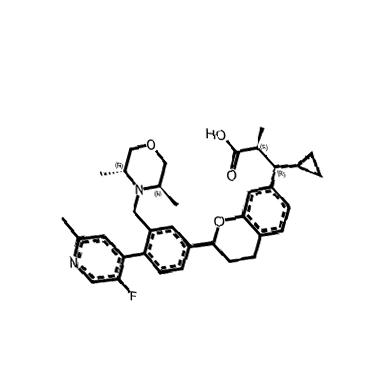 Cc1cc(-c2ccc(C3CCc4ccc([C@H](C5CC5)[C@H](C)C(=O)O)cc4O3)cc2CN2[C@H](C)COC[C@H]2C)c(F)cn1